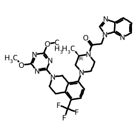 COc1nc(OC)nc(N2CCc3c(C(F)(F)F)ccc(N4CCN(C(=O)Cn5cnc6cccnc65)[C@H](C)C4)c3C2)n1